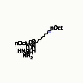 CCCCCCCC/C=C/CCCCCCCC(=O)NC(CCNC(=N)N)C(=O)NCCCCCCCC